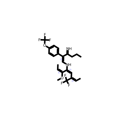 C\C=C(OC)/C(=C\C(=C/C)C(F)(F)F)N/C=C(\C(=N)CCC)c1ccc(OC(F)(F)F)cc1